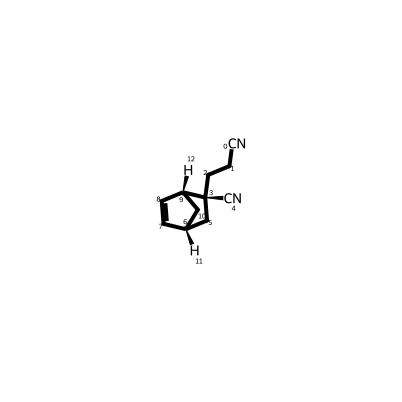 N#CCC[C@]1(C#N)C[C@@H]2C=C[C@H]1C2